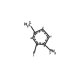 Cc1ccc(P)c(F)c1